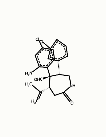 C=C(C)[C@H]1CC(=O)NC[C@@H](c2cccc(Cl)c2)[C@@]1(C=O)c1ccc(Cl)cc1N